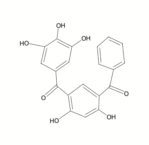 O=C(c1ccccc1)c1cc(C(=O)c2cc(O)c(O)c(O)c2)c(O)cc1O